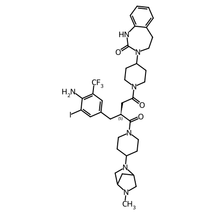 CN1CC2CC1CN2C1CCN(C(=O)[C@H](CC(=O)N2CCC(N3CCc4ccccc4NC3=O)CC2)Cc2cc(I)c(N)c(C(F)(F)F)c2)CC1